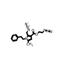 Cc1cc(C(=O)OCCN=[N+]=[N-])c(CN=[N+]=[N-])n1CCc1ccccc1